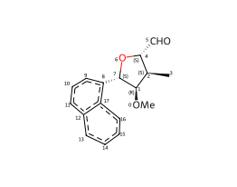 CO[C@@H]1[C@H](C)[C@@H](C=O)O[C@H]1c1cccc2ccccc12